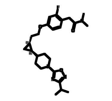 CC(C)c1noc(N2CCC([C@H]3C[C@@H]3CCOc3ccc(CC(=O)N(C)C)c(F)c3)CC2)n1